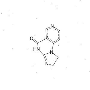 O=C1NC2=NCCN2c2ccncc21